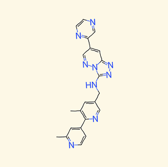 Cc1cc(-c2ncc(CNc3nnc4cc(-c5cnccn5)cnn34)cc2C)ccn1